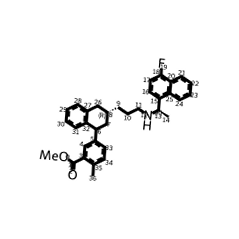 COC(=O)c1cc(C2C[C@@H](CCCN[C@H](C)c3ccc(F)c4ccccc34)Cc3ccccc32)ccc1C